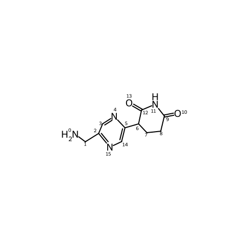 NCc1cnc(C2CCC(=O)NC2=O)cn1